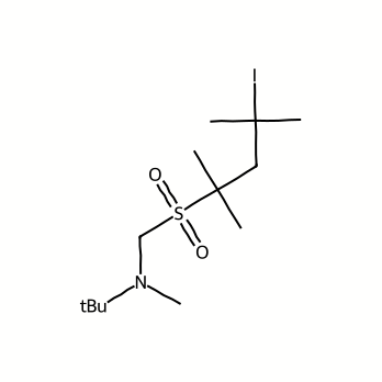 CN(CS(=O)(=O)C(C)(C)CC(C)(C)I)C(C)(C)C